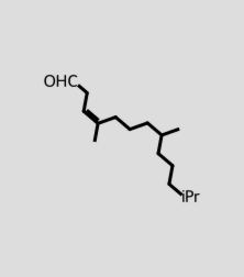 CC(=CCC=O)CCCC(C)CCCC(C)C